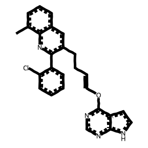 Cc1cccc2cc(CCC=COc3ncnc4[nH]ccc34)c(-c3ccccc3Cl)nc12